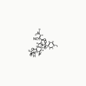 Cc1ccc(S(=O)(=O)n2c(C(=O)C(C#N)=CN(C)C)cc3cc(NS(C)(=O)=O)c(F)cc32)cc1